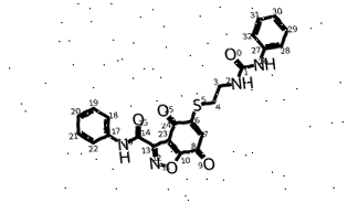 O=C(NCCSC1=CC(=O)c2onc(C(=O)Nc3ccccc3)c2C1=O)Nc1ccccc1